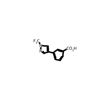 O=C(O)c1cccc(-c2cnn(C(F)(F)F)c2)c1